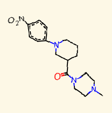 CN1CCN(C(=O)C2CCCN(c3ccc([N+](=O)[O-])cc3)C2)CC1